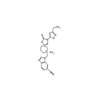 CCc1cc(N2C[C@@]3(CCC[C@](C)(Cn4cnc5ccc(C#N)cc54)C3)OC2=O)on1